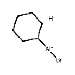 [Br][Al+][CH]1CCCCC1.[H-]